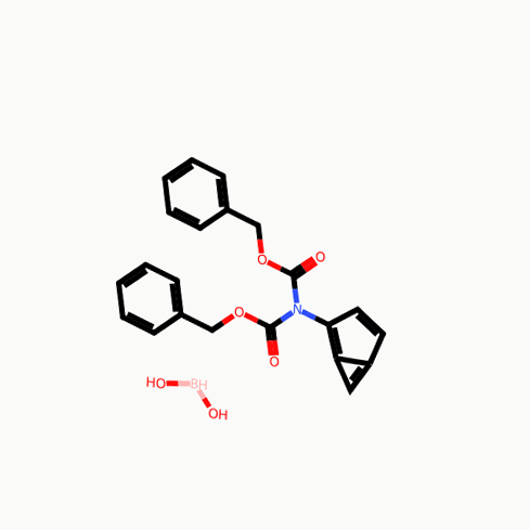 O=C(OCc1ccccc1)N(C(=O)OCc1ccccc1)c1ccc2cc1-2.OBO